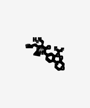 CC(C)(C)CN(C1CC1)[C@@H](CN)C(=O)Nc1ccc(N2CCOCC2=O)c(OC(F)F)c1